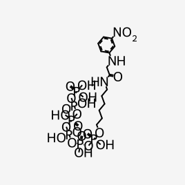 O=C(CNc1cccc([N+](=O)[O-])c1)NCCCCCCOP(=O)(O)OP(=O)(O)OP(=O)(O)OP(=O)(O)OP(=O)(O)OP(=O)(O)O